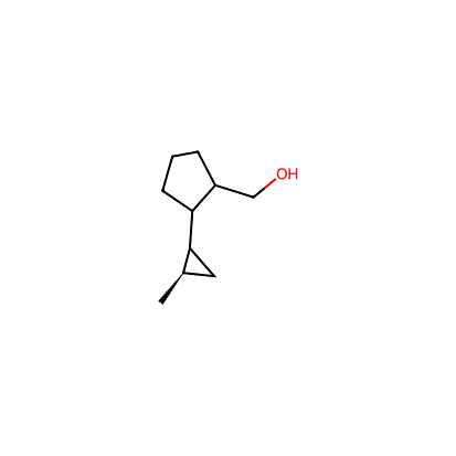 C[C@@H]1CC1C1CCCC1CO